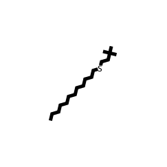 CCCCCCCCCCCCSCCC(C)(C)C